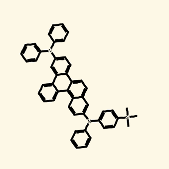 C[Si](C)(C)c1ccc(N(c2ccccc2)c2ccc3c(ccc4c5ccc(N(c6ccccc6)c6ccccc6)cc5c5ccccc5c34)c2)cc1